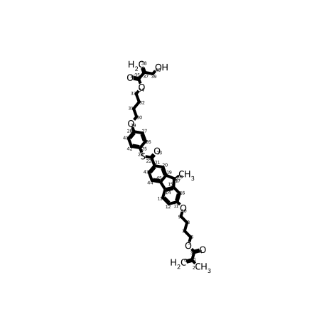 C=C(C)C(=O)OCCCCOc1ccc2c(c1)[C@H](C)c1cc(C(=O)Sc3ccc(OCCCCOC(=O)C(=C)CO)cc3)ccc1-2